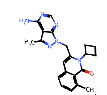 Cc1nn(Cc2cc3cccc(C)c3c(=O)n2C2CCC2)c2ncnc(N)c12